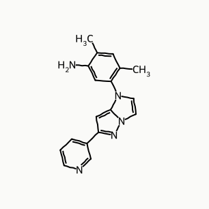 Cc1cc(C)c(-n2ccn3nc(-c4cccnc4)cc23)cc1N